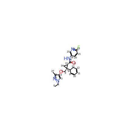 CCn1cc(OC[C@@]2(C3C=CC=CC3)C[C@H]2C(=O)Nc2ccc(F)nc2)c(C)n1